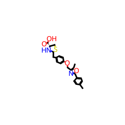 Cc1ccc(-c2nc(COc3ccc(CC4N[C@H](C(=O)O)CS4)cc3)c(C)o2)cc1